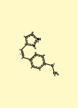 COc1ccc(/C=C\c2cc[nH]n2)cc1